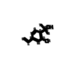 C=Cc1ccc(C(C)(C)O)c(Cl)c1